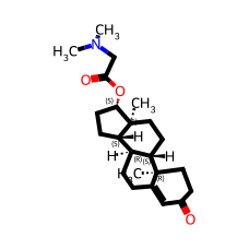 CN(C)CC(=O)O[C@H]1CC[C@H]2[C@@H]3CCC4=CC(=O)CC[C@]4(C)[C@H]3CC[C@]12C